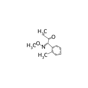 CCC(=O)C(=NOC)c1ccccc1C